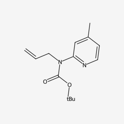 C=CCN(C(=O)OC(C)(C)C)c1cc(C)ccn1